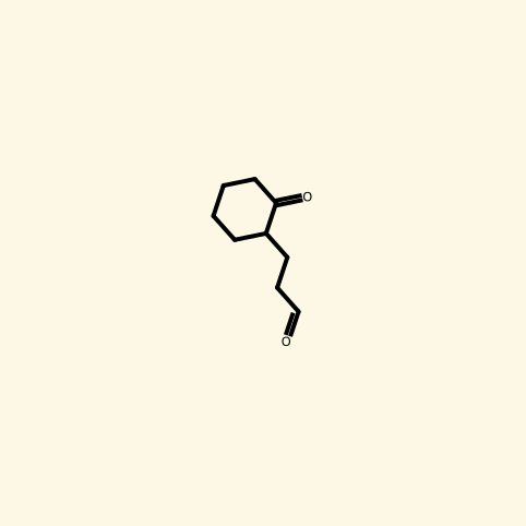 O=CCCC1CCCCC1=O